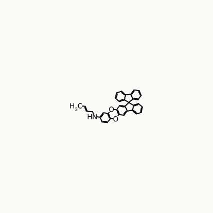 C/C=C/CNc1ccc2c(c1)Oc1cc3c(cc1O2)-c1ccccc1C31c2ccccc2-c2ccccc21